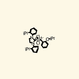 CC(C)Oc1ccccc1[CH]=[Ru-4]([Cl])([Cl])=[C]1N(c2ccccc2C(C)C)CCN1c1ccccc1C(C)C